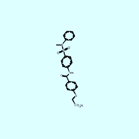 CN(c1ccccc1)S(=O)(=O)c1ccc(NC(=O)c2ccc(SCC(=O)O)cc2)cc1